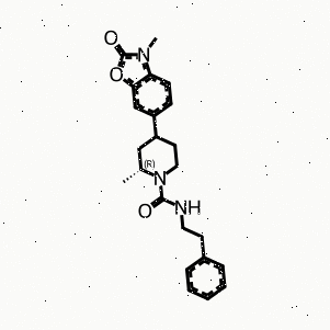 C[C@@H]1CC(c2ccc3c(c2)oc(=O)n3C)CCN1C(=O)NCCc1ccccc1